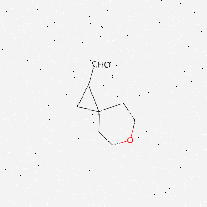 O=CC1CC12CCOCC2